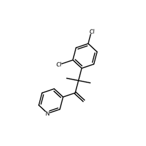 C=C(c1cccnc1)C(C)(C)c1ccc(Cl)cc1Cl